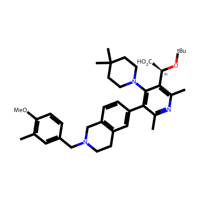 COc1ccc(CN2CCc3cc(-c4c(C)nc(C)c([C@H](OC(C)(C)C)C(=O)O)c4N4CCC(C)(C)CC4)ccc3C2)cc1C